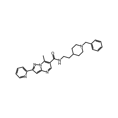 Cc1c(C(=O)NCCC2CCN(Cc3ccccc3)CC2)cnc2cc(-c3ccccn3)nn12